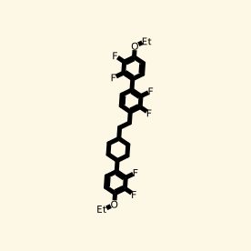 CCOc1ccc(-c2ccc(CCC3CCC(c4ccc(OCC)c(F)c4F)CC3)c(F)c2F)c(F)c1F